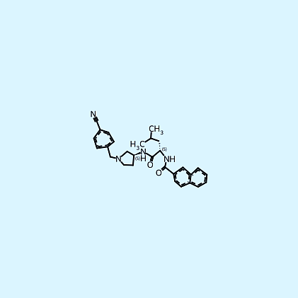 CC(C)C[C@H](NC(=O)c1ccc2ccccc2c1)C(=O)N[C@H]1CCN(Cc2ccc(C#N)cc2)C1